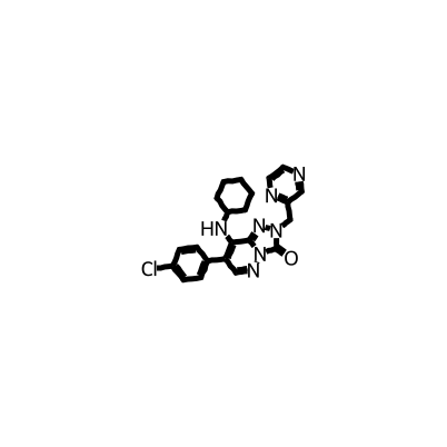 O=c1n(Cc2cnccn2)nc2c(NC3CCCCC3)c(-c3ccc(Cl)cc3)cnn12